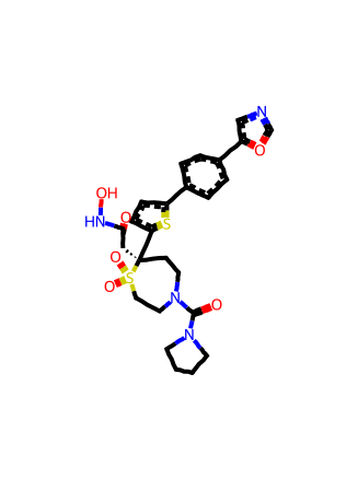 O=C(C[C@]1(c2ccc(-c3ccc(-c4cnco4)cc3)s2)CCN(C(=O)N2CCCC2)CCS1(=O)=O)NO